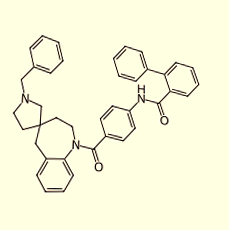 O=C(Nc1ccc(C(=O)N2CCC3(CCN(Cc4ccccc4)C3)Cc3ccccc32)cc1)c1ccccc1-c1ccccc1